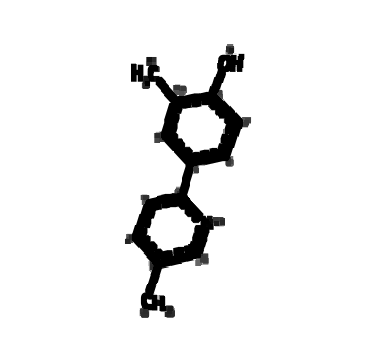 Cc1ccc(-c2ccc(O)c(C)c2)nc1